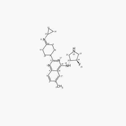 Cc1ccc2nc(C3CCC(=NC4CC4)CC3)nc(N[C@@H]3CNC[C@H]3F)c2c1